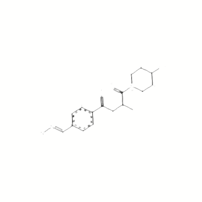 CC(CC(=O)c1ccc(C=NN)cc1)C(=O)N1CCC([O])CC1